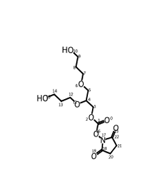 O=C(OCC(COCCCO)OCCCO)ON1C(=O)CCC1=O